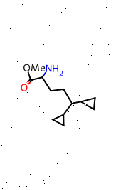 COC(=O)C(N)CCC(C1CC1)C1CC1